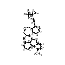 Cc1nnc2nc(N3CCOCc4c3ccnc4C#CC3(C(F)(F)F)CC3)c3c(F)cccc3n12